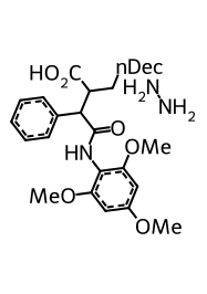 CCCCCCCCCCCC(C(=O)O)C(C(=O)Nc1c(OC)cc(OC)cc1OC)c1ccccc1.NN